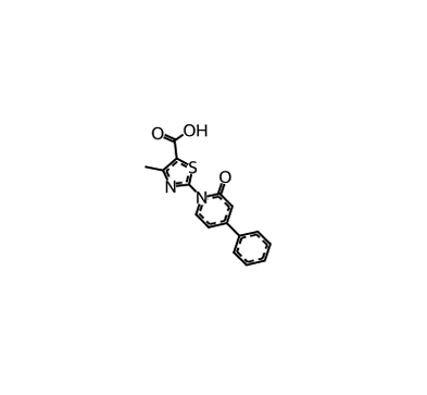 Cc1nc(-n2ccc(-c3ccccc3)cc2=O)sc1C(=O)O